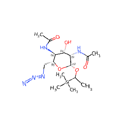 CC(=O)N[C@@H]1[C@H](OC(C)[Si](C)(C)C)O[C@H](CN=[N+]=[N-])[C@@H](NC(C)=O)[C@@H]1O